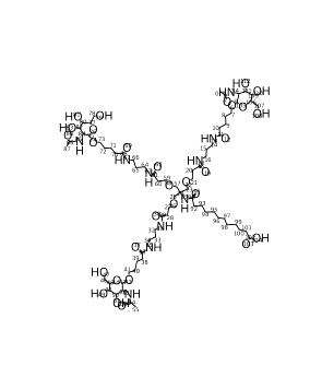 CC(=O)NC1C(OCCCCC(=O)NCCCNC(=O)CCOCC(COCCC(=O)NCCCNC(=O)CCCCOC2OC(CO)C(O)C(O)C2NC(C)=O)(COCCC(=O)NCCCNC(=O)CCCCOC2OC(CO)C(O)C(O)C2NC(C)=O)NC(=O)CCCCCCCCCCC(=O)O)OC(CO)C(O)C1O